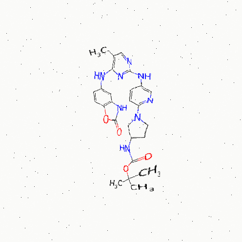 Cc1cnc(Nc2ccc(N3CCC(NC(=O)OC(C)(C)C)C3)nc2)nc1Nc1ccc2oc(=O)[nH]c2c1